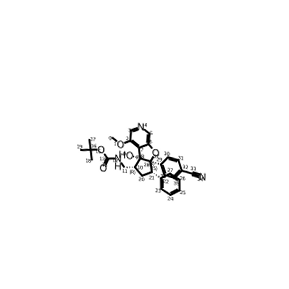 COc1cncc2c1[C@]1(O)[C@@H](CNC(=O)OC(C)(C)C)C[C@@H](c3ccccc3)[C@]1(c1ccc(C#N)cc1)O2